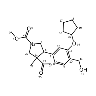 COC(=O)N1CC(c2ccc(CO)c(OC3CCCC3)c2)C(C)(C(C)=O)C1